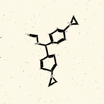 O=CNC(c1ccc(N2CC2)cc1)c1ccc(N2CC2)cc1